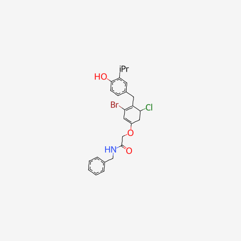 CC(C)c1cc(CC2=C(Br)C=C(OCC(=O)NCc3ccccc3)CC2Cl)ccc1O